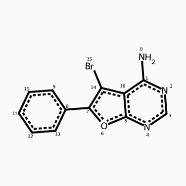 Nc1ncnc2oc(-c3ccccc3)c(Br)c12